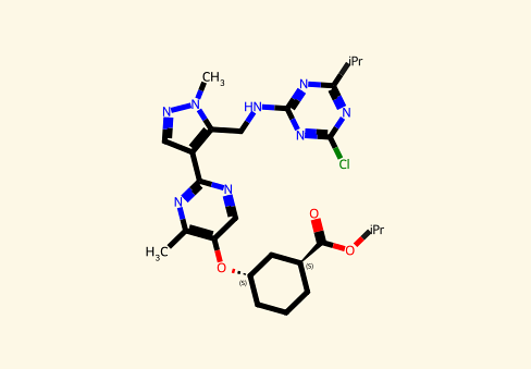 Cc1nc(-c2cnn(C)c2CNc2nc(Cl)nc(C(C)C)n2)ncc1O[C@H]1CCC[C@H](C(=O)OC(C)C)C1